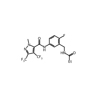 CCC(=O)NCc1cc(NC(=O)c2c(C(F)(F)F)c(C(F)(F)F)nn2C)ccc1F